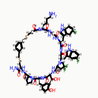 C[C@H](O)[C@@H]1NC(=O)[C@@H]2CC(F)(F)CN2[C@@H](Cc2c[nH]c3ccc(F)cc23)C(=O)NC(=O)[C@H](Cc2c[nH]c3ccc(F)cc23)NC(=O)CNC(=O)[C@H](CCCCN)NC(=O)CCSCc2cccc(c2)CSC[C@@H](C(N)=O)NC(=O)[C@@H]2CCCN2C(=O)[C@H](Cc2ccc(O)cc2)NC1=O